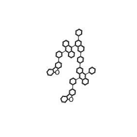 c1ccc(-c2cc(-c3c4ccccc4c(-c4cccc(-c5ccc6oc7ccccc7c6c5)c4)c4ccccc34)c3cc(-c4ccc(-c5ccc6c(-c7cccc(-c8ccc9oc%10ccccc%10c9c8)c7)c7ccccc7c(-c7ccccc7)c6c5)cc4)ccc3c2)cc1